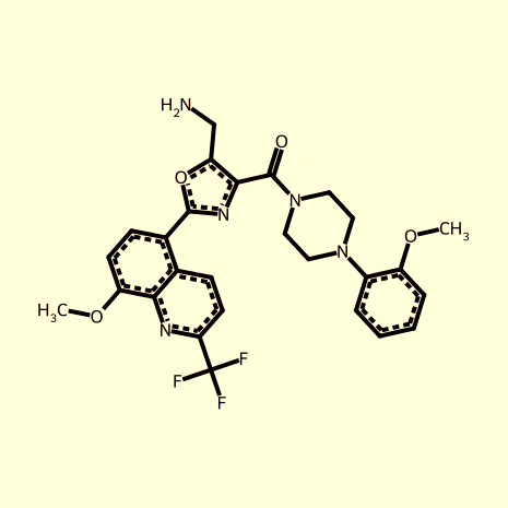 COc1ccccc1N1CCN(C(=O)c2nc(-c3ccc(OC)c4nc(C(F)(F)F)ccc34)oc2CN)CC1